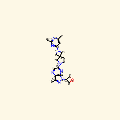 Cc1cc(N2CC3(CCN(c4cnc5c(C)nn(C6COC6)c5n4)C3)C2)nc(C)n1